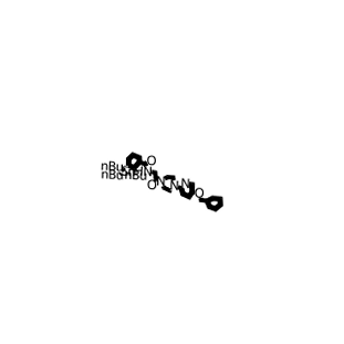 CCC[CH2][Sn]([CH2]CCC)([CH2]CCC)[c]1cccc(C(=O)NCC(=O)N2CCN(c3ccc(OCc4ccccc4)cn3)CC2)c1